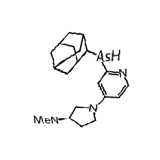 CN[C@@H]1CCN(c2ccnc([AsH]C3C4CC5CC(C4)CC3C5)c2)C1